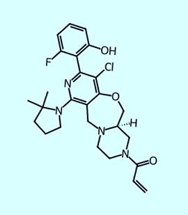 C=CC(=O)N1CCN2Cc3c(N4CCCC4(C)C)nc(-c4c(O)cccc4F)c(Cl)c3OC[C@H]2C1